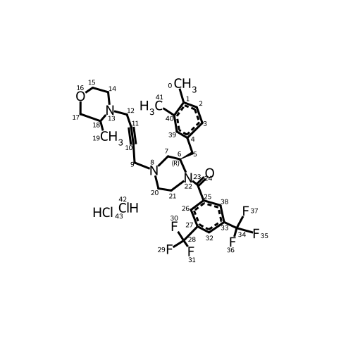 Cc1ccc(C[C@@H]2CN(CC#CCN3CCOCC3C)CCN2C(=O)c2cc(C(F)(F)F)cc(C(F)(F)F)c2)cc1C.Cl.Cl